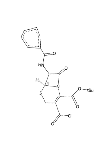 CC(C)(C)OC(=O)C1=C(C(=O)Cl)CS[C@H]2C(NC(=O)c3ccccc3)C(=O)N12